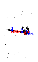 C#CCNC(=O)COCCOCCOCC(=O)NCc1ccc(Cn2c(CCCC)nc3c(N)nc4ccccc4c32)cc1